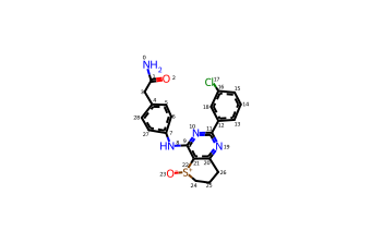 NC(=O)Cc1ccc(Nc2nc(-c3cccc(Cl)c3)nc3c2[S+]([O-])CCC3)cc1